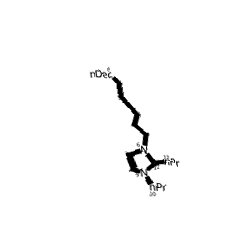 CCCCCCCCCCCCCCCN1C=CN(CCC)C1CCC